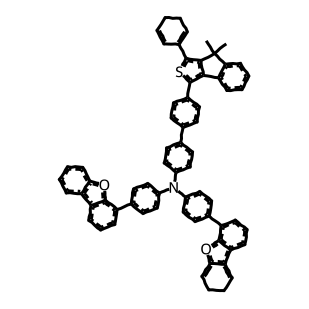 CC1(C)c2ccccc2-c2c(-c3ccc(-c4ccc(N(c5ccc(-c6cccc7c8c(oc67)=CCCC=8)cc5)c5ccc(-c6cccc7c6oc6ccccc67)cc5)cc4)cc3)sc(C3=CCCC=C3)c21